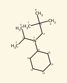 CC(C)N(CC(C)(C)C)C1CCCCC1